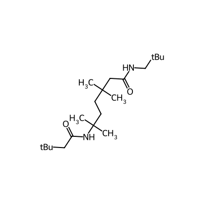 CC(C)(C)CNC(=O)CC(C)(C)CCC(C)(C)NC(=O)CC(C)(C)C